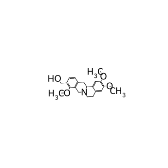 COc1cc2c(cc1OC)C1Cc3ccc(CO)c(OC)c3CN1CC2